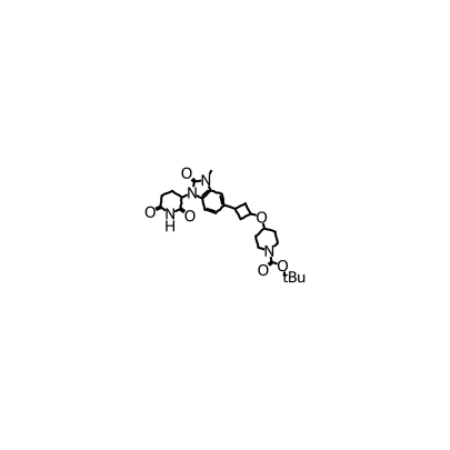 Cn1c(=O)n(C2CCC(=O)NC2=O)c2ccc(C3CC(OC4CCN(C(=O)OC(C)(C)C)CC4)C3)cc21